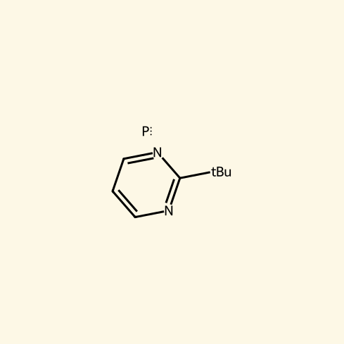 CC(C)(C)c1ncccn1.[P]